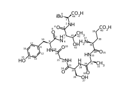 CC[C@H](C)[C@H](NC(=O)[C@@H](NC(=O)[C@H](Cc1ccc(O)cc1)NC(=O)CNC(=O)[C@H](CO)NC(=O)[C@H](C)NC(=O)[C@@H](N)CCC(=O)O)[C@@H](C)O)C(=O)O